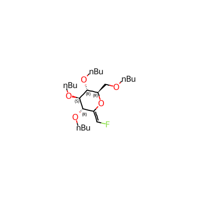 CCCCOC[C@H]1OC(=CF)[C@H](OCCCC)[C@@H](OCCCC)[C@@H]1OCCCC